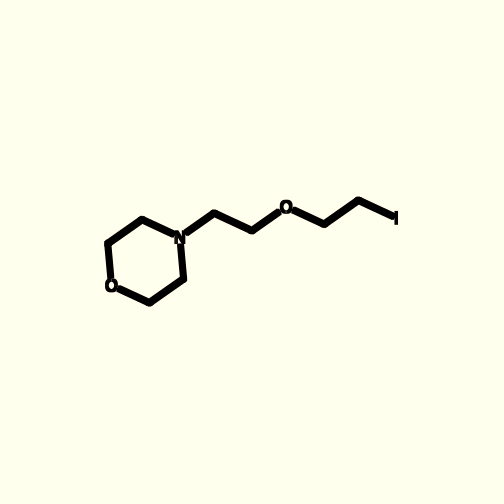 ICCOCCN1CCOCC1